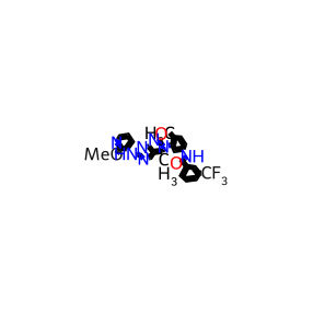 COc1ncccc1Nc1ncc2c(C)n(-c3cc(NC(=O)c4cccc(C(F)(F)F)c4)ccc3C)c(=O)nc2n1